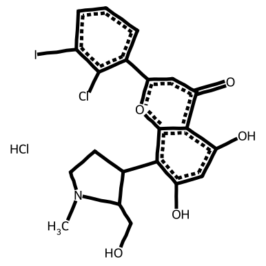 CN1CCC(c2c(O)cc(O)c3c(=O)cc(-c4cccc(I)c4Cl)oc23)C1CO.Cl